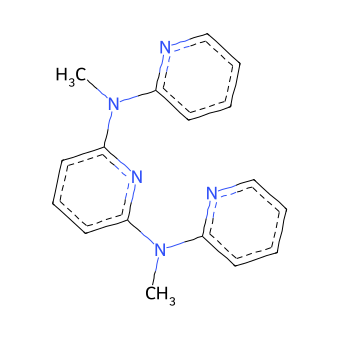 CN(c1ccccn1)c1cccc(N(C)c2ccccn2)n1